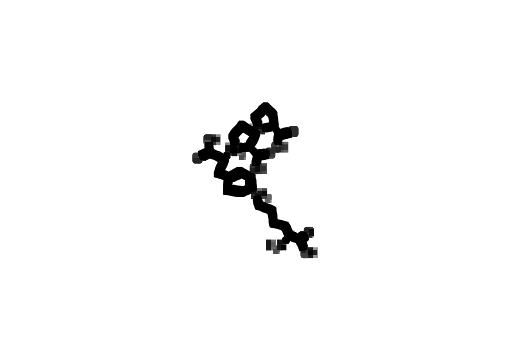 NCCCC[C@H](N)C(=O)O.N[C@@H](Cc1ccccc1)C(=O)O.O=C(O)[C@@H]1CCCN1.O=C(O)[C@@H]1CCCN1